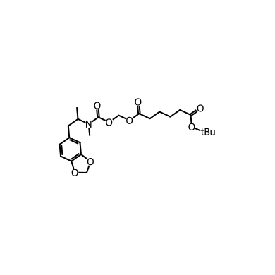 CC(Cc1ccc2c(c1)OCO2)N(C)C(=O)OCOC(=O)CCCCC(=O)OC(C)(C)C